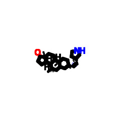 C[C@@H]1CC2C[C@H](/C=C\[C@H]3CCNC3)CC[C@]2(C)[C@H]2CC[C@]3(C)C(=O)CC[C@H]3[C@H]12